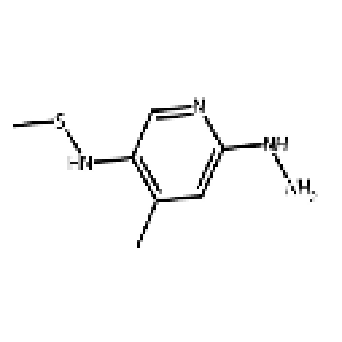 CSNc1cnc(NN)cc1C